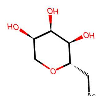 CC(=O)C[C@@H]1OC[C@@H](O)[C@@H](O)[C@H]1O